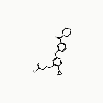 NC(=O)CCNc1nc(Nc2cccc(C(=O)N3CCOCC3)c2)ncc1C1CC1